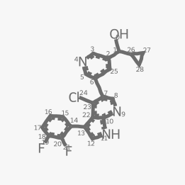 OC(c1cncc(-c2cnc3[nH]cc(-c4cccc(F)c4F)c3c2Cl)c1)C1CC1